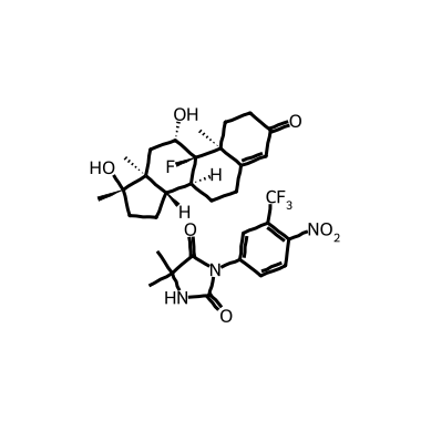 CC1(C)NC(=O)N(c2ccc([N+](=O)[O-])c(C(F)(F)F)c2)C1=O.C[C@]1(O)CC[C@H]2[C@@H]3CCC4=CC(=O)CC[C@]4(C)[C@@]3(F)[C@@H](O)C[C@@]21C